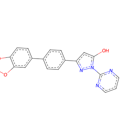 Oc1cc(-c2ccc(-c3ccc4c(c3)OCO4)cc2)nn1-c1ncccn1